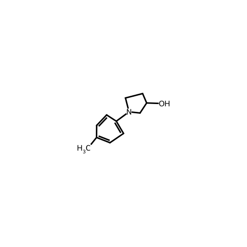 Cc1ccc(N2CCC(O)C2)cc1